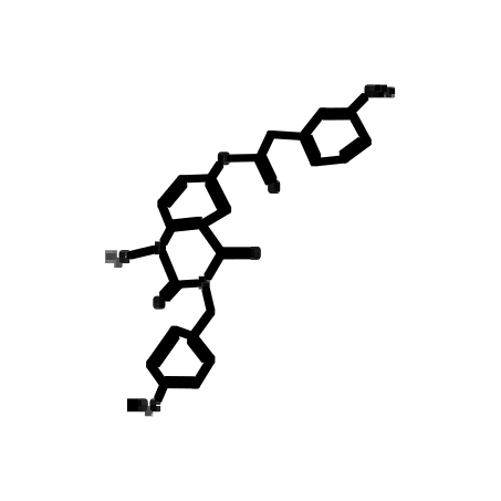 COc1cccc(CC(=O)Oc2ccc3c(c2)c(=O)n(Cc2ccc(C(=O)O)cc2)c(=O)n3C)c1